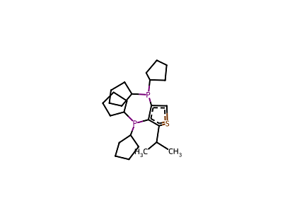 CC(C)c1scc(P(C2CCCC2)C2CCCC2)c1P(C1CCCC1)C1CCCC1